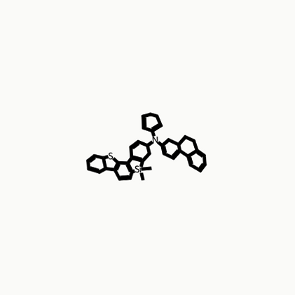 C[Si]1(C)C2=C(C=CC(N(C3=CCCC=C3)C3=CC=C4c5ccccc5CCC4C3)C2)c2c1ccc1c2SC2C=CC=CC12